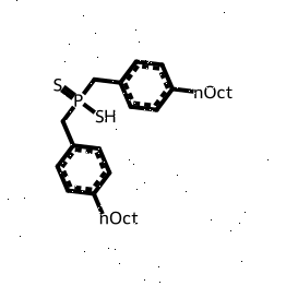 CCCCCCCCc1ccc(CP(=S)(S)Cc2ccc(CCCCCCCC)cc2)cc1